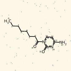 CCCCCCCC(=O)n1ccc(N)nc1=O